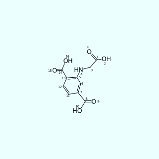 O=C(O)CNc1cc(C(=O)O)ccc1C(=O)O